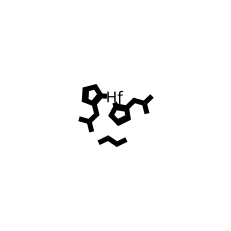 CC(C)CC1=[C]([Hf][C]2=C(CC(C)C)C=CC2)CC=C1.CCCC